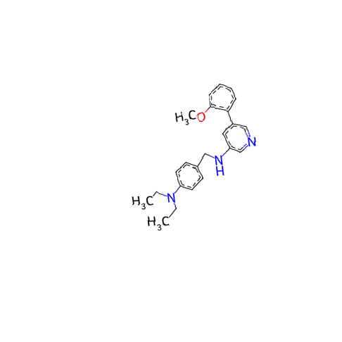 CCN(CC)c1ccc(CNc2cncc(-c3ccccc3OC)c2)cc1